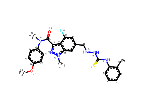 CC(C)c1ccccc1NC(=S)NNCc1cc(F)c2c(C(=O)N(C)c3ccc(OC(F)(F)F)cc3)nn(C)c2c1